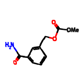 COC(=O)OCc1cccc(C(N)=O)c1